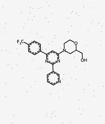 OCC1CN(c2cc(-c3ccc(C(F)(F)F)cc3)nc(-c3cccnc3)n2)CCO1